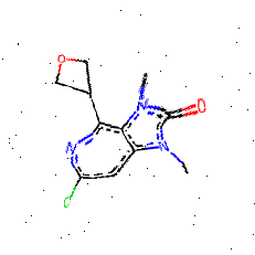 Cn1c(=O)n(C)c2c(C3COC3)nc(Cl)cc21